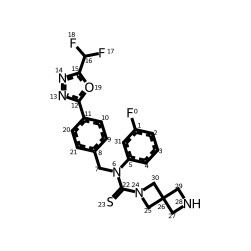 Fc1cccc(N(Cc2ccc(-c3nnc(C(F)F)o3)cc2)C(=S)N2CC3(CNC3)C2)c1